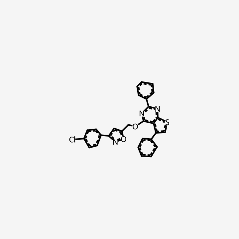 Clc1ccc(-c2cc(COc3nc(-c4ccccc4)nc4scc(-c5ccccc5)c34)on2)cc1